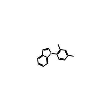 Cc1ccc(-n2ccc3c[c]ccc32)c(C)c1